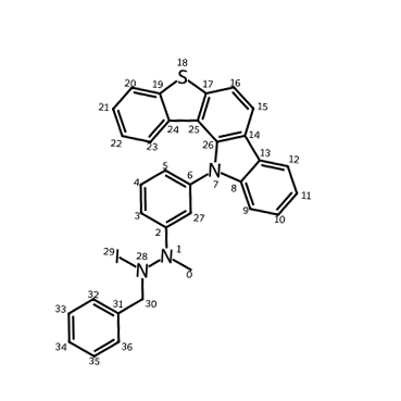 CN(c1cccc(-n2c3ccccc3c3ccc4sc5ccccc5c4c32)c1)N(I)Cc1ccccc1